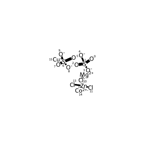 O=S(=O)([O-])[O-].O=S(=O)([O-])[O-].[Cl-].[Cl][Zn][Cl].[Co+2].[Cu+].[Mg+2]